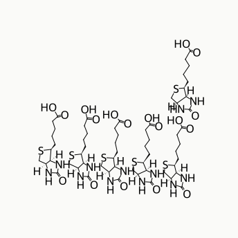 O=C(O)CCCC[C@@H]1SC[C@@H]2NC(=O)N[C@@H]21.O=C(O)CCCC[C@@H]1SC[C@@H]2NC(=O)N[C@@H]21.O=C(O)CCCC[C@@H]1SC[C@@H]2NC(=O)N[C@@H]21.O=C(O)CCCC[C@@H]1SC[C@@H]2NC(=O)N[C@@H]21.O=C(O)CCCC[C@@H]1SC[C@@H]2NC(=O)N[C@@H]21.O=C(O)CCCC[C@@H]1SC[C@@H]2NC(=O)N[C@@H]21